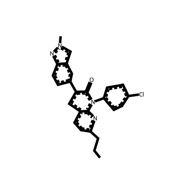 CCCc1ccc2cc(-c3ccc4nn(C)cc4c3)c(=O)n(-c3ccc(Cl)cc3)c2n1